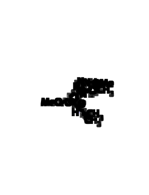 COCCOc1ccc(-n2nc(-c3ccc(C)c(OC)c3)c3c(N)ncnc32)cc1NC(=O)/C=C/CN(C)C